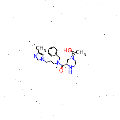 CB(O)N1CCN[C@@H](C(=O)N(CCCn2cnc(C)c2)Cc2ccccc2)C1